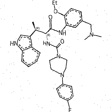 CCOc1ccc(CN(C)C)cc1NC(=O)[C@H](NC(=O)N1CCN(c2ccc(F)cc2)CC1)[C@H](C)c1c[nH]c2ccccc12